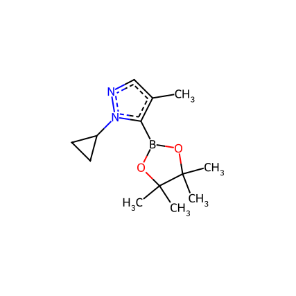 Cc1cnn(C2CC2)c1B1OC(C)(C)C(C)(C)O1